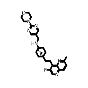 Cc1ccc2ncc(F)c(CCC34CCC(NCc5cnc(N6CCOCC6)nc5)(CC3)CO4)c2n1